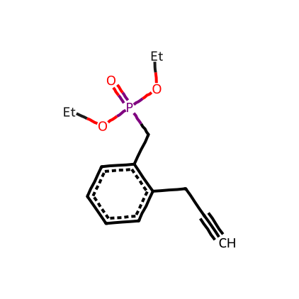 C#CCc1ccccc1CP(=O)(OCC)OCC